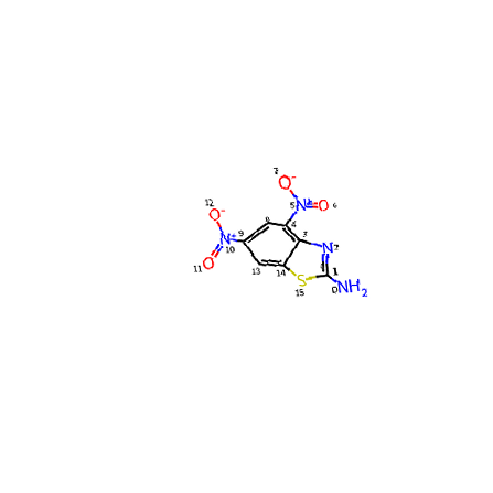 Nc1nc2c([N+](=O)[O-])cc([N+](=O)[O-])cc2s1